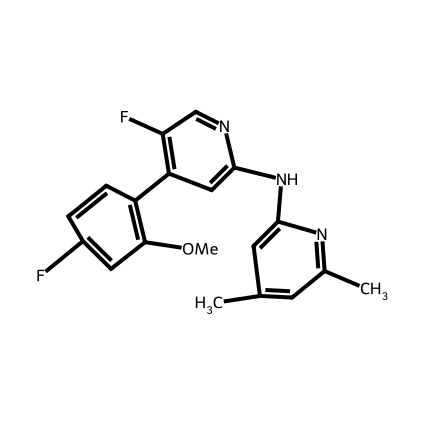 COc1cc(F)ccc1-c1cc(Nc2cc(C)cc(C)n2)ncc1F